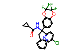 O=C(NC(Cc1ccccc1)(c1ccc2c(c1)OC(F)(F)C(F)(F)O2)c1ccc(Cl)cn1)C1CC1